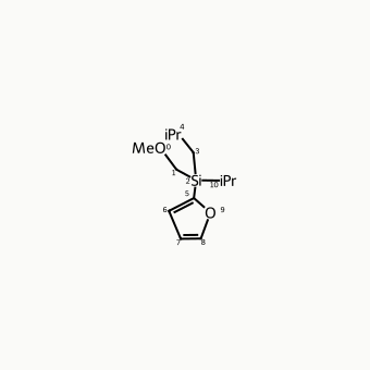 COC[Si](CC(C)C)(c1ccco1)C(C)C